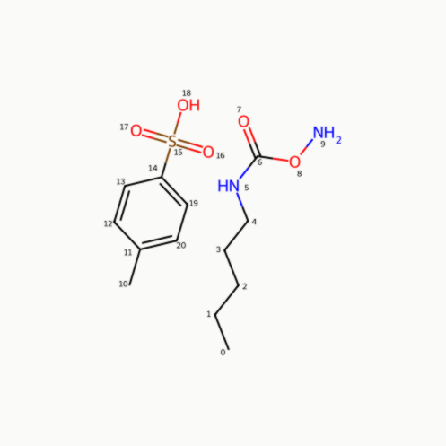 CCCCCNC(=O)ON.Cc1ccc(S(=O)(=O)O)cc1